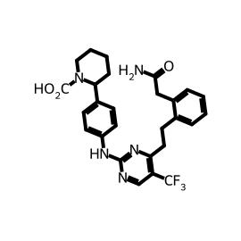 NC(=O)Cc1ccccc1CCc1nc(Nc2ccc(C3CCCCN3C(=O)O)cc2)ncc1C(F)(F)F